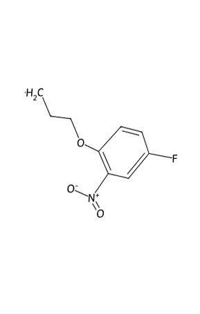 [CH2]CCOc1ccc(F)cc1[N+](=O)[O-]